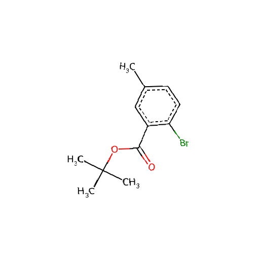 Cc1ccc(Br)c(C(=O)OC(C)(C)C)c1